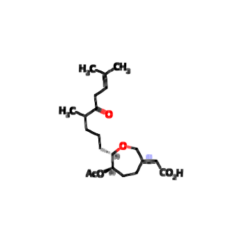 CC(=O)O[C@@H]1CC/C(=C\C(=O)O)CO[C@H]1CCCC(C)C(=O)CC=C(C)C